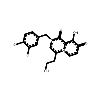 O=c1ccn2c(CCO)cn(Cc3ccc(Cl)c(Cl)c3)c(=O)c2c1O